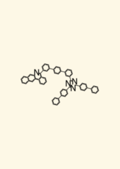 c1ccc(-c2ccc(-c3nc(-c4ccc(-c5ccccc5)cc4)nc(-c4cccc(-c5ccc(-c6cccc(-c7nc8cc9ccccc9cc8c8ccccc78)c6)cc5)c4)n3)cc2)cc1